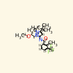 CCOCCn1/c(=N/C(=O)c2cccc(C(F)(F)F)c2C)cc(C(C)(C)C)n1C